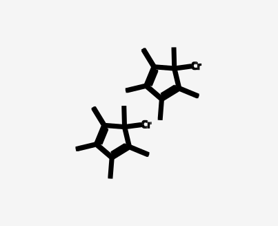 CC1=C(C)[C](C)([Cr])C(C)=C1C.CC1=C(C)[C](C)([Cr])C(C)=C1C